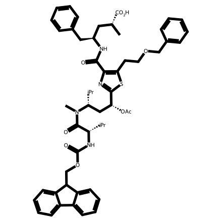 CC(=O)O[C@H](C[C@@H](C(C)C)N(C)C(=O)[C@@H](NC(=O)OCC1c2ccccc2-c2ccccc21)C(C)C)c1nc(C(=O)N[C@@H](Cc2ccccc2)C[C@@H](C)C(=O)O)c(CCOCc2ccccc2)s1